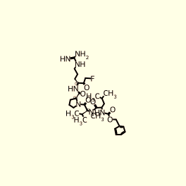 CC(C)CC(NC(=O)OCc1ccccc1)C(=O)N(C)[C@H](C(=O)N1CCC[C@H]1C(=O)N[C@@H](CCCNC(=N)N)C(=O)CF)C(C)C